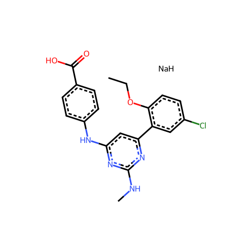 CCOc1ccc(Cl)cc1-c1cc(Nc2ccc(C(=O)O)cc2)nc(NC)n1.[NaH]